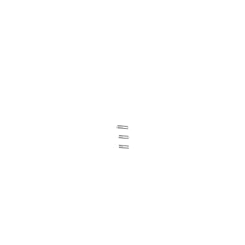 [O]=[Ti].[O]=[Zn].[O]=[Zr]